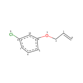 C=CCOc1[c]ccc(Cl)c1